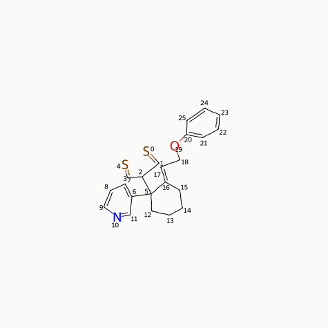 S=CC(C=S)C1(c2cccnc2)CCCCC1=CCOc1ccccc1